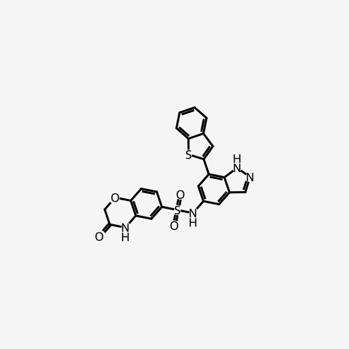 O=C1COc2ccc(S(=O)(=O)Nc3cc(-c4cc5ccccc5s4)c4[nH]ncc4c3)cc2N1